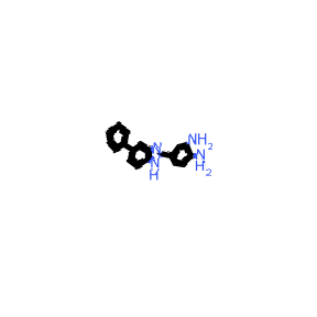 Nc1ccc(-c2nc3cc(-c4ccccc4)ccc3[nH]2)cc1N